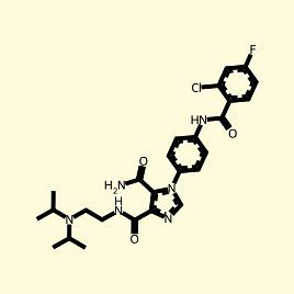 CC(C)N(CCNC(=O)c1ncn(-c2ccc(NC(=O)c3ccc(F)cc3Cl)cc2)c1C(N)=O)C(C)C